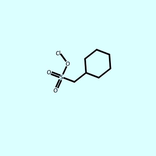 O=S(=O)(CC1CCCCC1)OCl